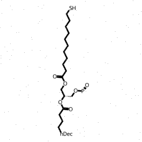 CCCCCCCCCCCCCC(=O)O[C@@H](COP=O)COC(=O)CCCCCCCCCCS